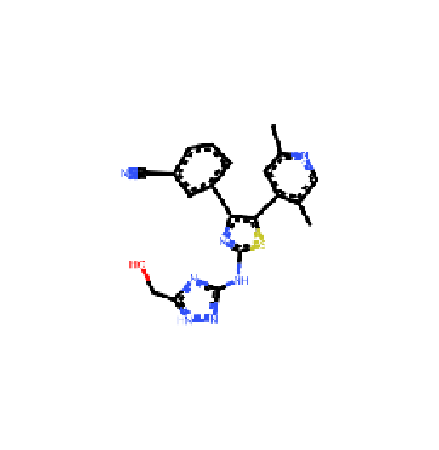 Cc1cc(-c2sc(Nc3n[nH]c(CO)n3)nc2-c2cccc(C#N)c2)c(C)cn1